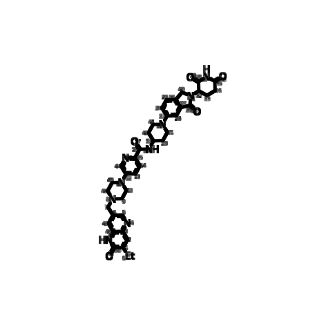 CCc1cc2ncc(CN3CCN(c4ccc(C(=O)NC5CCN(c6ccc7c(c6)C(=O)N(C6CCC(=O)NC6=O)C7)CC5)nc4)CC3)cc2[nH]c1=O